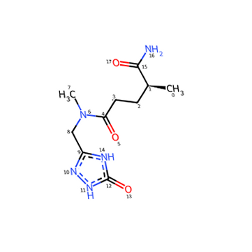 C[C@@H](C[CH]C(=O)N(C)Cc1n[nH]c(=O)[nH]1)C(N)=O